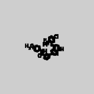 CN1CCC(NC(=O)c2cccc(-c3cnc4c(c3)N(Cc3cc(Cl)ccc3C(F)(F)F)CCN4)c2)CC1